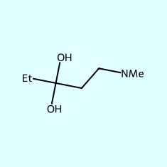 CCC(O)(O)CCNC